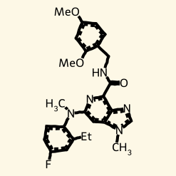 CCc1cc(F)ccc1N(C)c1cc2c(ncn2C)c(C(=O)NCc2ccc(OC)cc2OC)n1